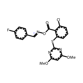 COc1cc(OC)nc(Sc2cccc(Cl)c2C(=O)O/N=C/c2ccc(F)cc2)n1